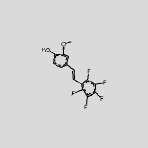 COc1cc(/C=C/c2c(F)c(F)c(F)c(F)c2F)ccc1O